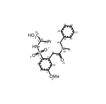 COc1ccc(S(=O)(=O)N[C@@H](C(=O)O)C(C)C)c(CC(=O)N(C)Cc2ccccc2)c1